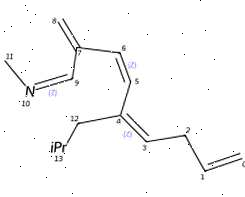 C=CC/C=C(\C=C/C(=C)/C=N\C)CC(C)C